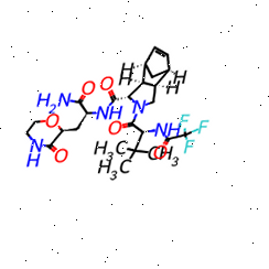 CC(C)(C)[C@H](NC(=O)C(F)(F)F)C(=O)N1C[C@H]2[C@@H]([C@H]1C(=O)N[C@@H](C[C@@H]1OCCNC1=O)C(N)=O)[C@H]1C=C[C@@H]2C1